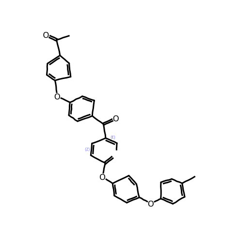 C=C(/C=C\C(=C/C)C(=O)c1ccc(Oc2ccc(C(C)=O)cc2)cc1)Oc1ccc(Oc2ccc(C)cc2)cc1